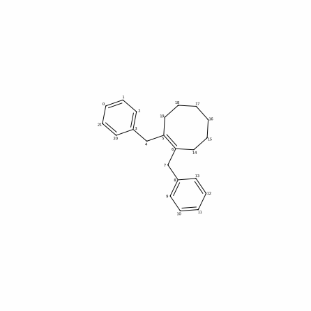 c1ccc(C/C2=C(\Cc3ccccc3)CCCCCC2)cc1